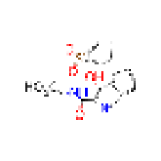 O=C(O)CNC(=O)c1ncc2ccccc2c1O.O=S1(=O)c2ccccc21